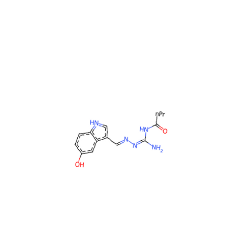 CCCC(=O)NC(N)=NN=Cc1c[nH]c2ccc(O)cc12